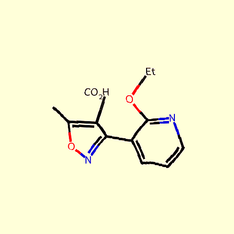 CCOc1ncccc1-c1noc(C)c1C(=O)O